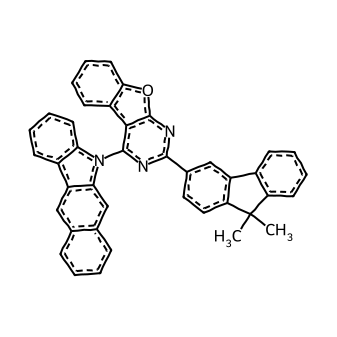 CC1(C)c2ccccc2-c2cc(-c3nc(-n4c5ccccc5c5cc6ccccc6cc54)c4c(n3)oc3ccccc34)ccc21